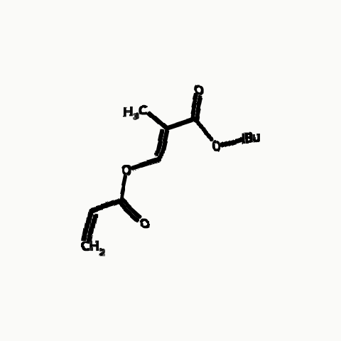 C=CC(=O)OC=C(C)C(=O)OC(C)CC